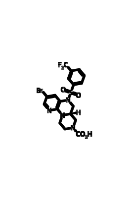 O=C(O)N1CCN2c3ncc(Br)cc3N(S(=O)(=O)c3cccc(C(F)(F)F)c3)C[C@@H]2C1